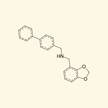 c1ccc(-c2ccc(CNCc3cccc4c3OCO4)cc2)cc1